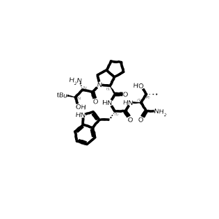 C[C@@H](O)[C@H](NC(=O)[C@H](Cc1c[nH]c2ccccc12)NC(=O)[C@@H]1C2CCCC2CN1C(=O)[C@@H](N)[C@@H](O)C(C)(C)C)C(N)=O